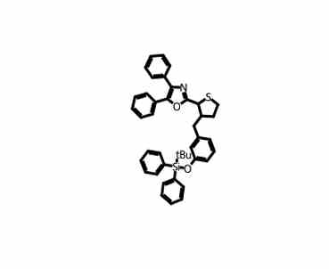 CC(C)(C)[Si](Oc1cccc(CC2CCSC2c2nc(-c3ccccc3)c(-c3ccccc3)o2)c1)(c1ccccc1)c1ccccc1